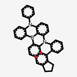 c1ccc(N2c3ccccc3B3c4ccccc4N(c4ccccc4-c4cccc5c4CCC5)c4cccc2c43)cc1